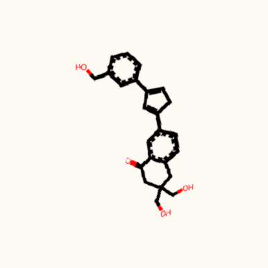 O=C1CC(CO)(CO)Cc2ccc(C3=CC(c4cccc(CO)c4)=CC3)cc21